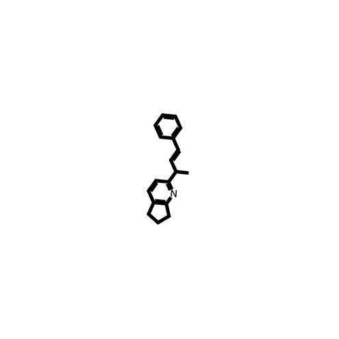 CC(/C=C/c1ccccc1)c1ccc2c(n1)CCC2